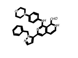 O=CC1NC=Cc2cc(-c3ccnn3Cc3ccccc3)nc(Nc3ccc(N4CCOCC4)cc3)c21